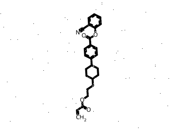 C=CC(=O)OCCCC1CCC(c2ccc(C(=O)Oc3ccccc3C#N)cc2)CC1